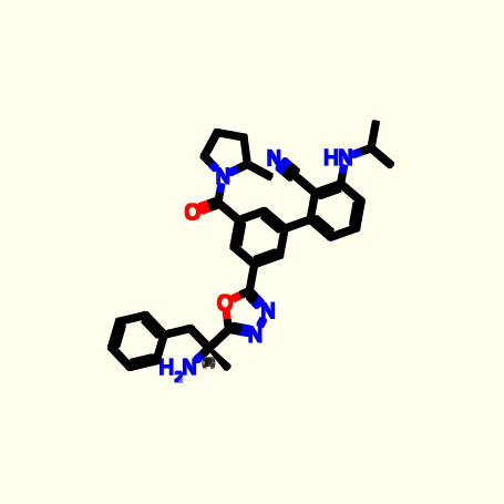 CC(C)Nc1cccc(-c2cc(C(=O)N3CCCC3C)cc(-c3nnc([C@](C)(N)Cc4ccccc4)o3)c2)c1C#N